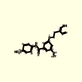 C=C/C(=C\S)CCOc1cc(OC(C)C)cc(C(=O)Nc2ccc(C(=O)O)cn2)c1